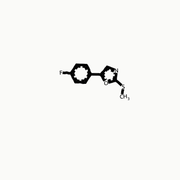 CSc1ncc(-c2ccc(F)cc2)o1